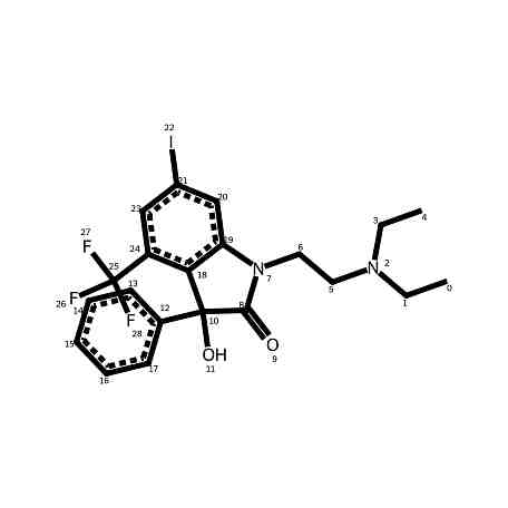 CCN(CC)CCN1C(=O)C(O)(c2ccccc2)c2c1cc(I)cc2C(F)(F)F